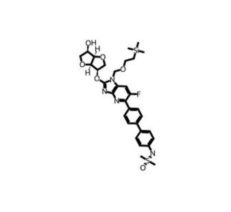 C[Si](C)(C)CCOCn1c(O[C@@H]2CO[C@H]3[C@@H]2OC[C@H]3O)nc2nc(-c3ccc(-c4ccc(N=S(C)(C)=O)cc4)cc3)c(F)cc21